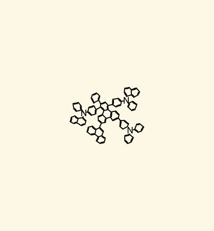 C1=CC(N(c2ccccc2)c2ccccc2)CC=C1c1ccc2c(c1)c1cc(-c3cc4ccccc4c4ccccc34)ccc1c1c(-c3ccc(N(c4ccccc4)c4cccc5ccccc45)cc3)c(-c3ccccc3)cc(-c3ccc(N(c4ccccc4)c4cccc5ccccc45)cc3)c21